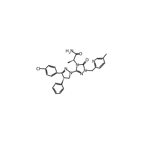 Cc1ccc(Cn2nc(N3C[C@@H](c4ccccc4)C(c4ccc(Cl)cc4)=N3)n([C@@H](C)C(N)=O)c2=O)nc1